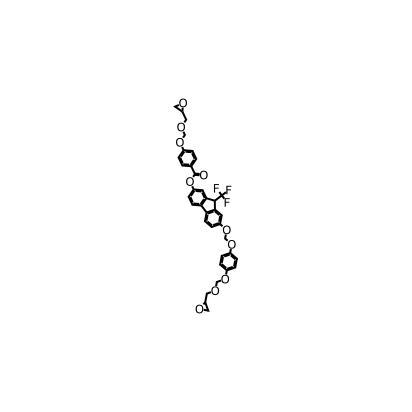 O=C(Oc1ccc2c(c1)C(C(F)(F)F)c1cc(OCOc3ccc(OCOCC4CO4)cc3)ccc1-2)c1ccc(OCOCC2CO2)cc1